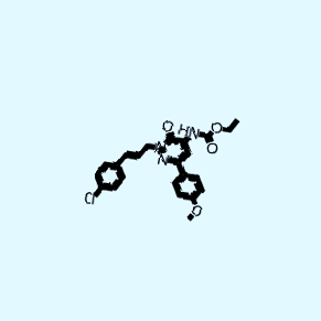 CCOC(=O)Nc1cc(-c2ccc(OC)cc2)nn(CC=Cc2ccc(Cl)cc2)c1=O